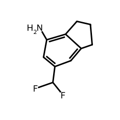 Nc1cc(C(F)F)cc2c1CCC2